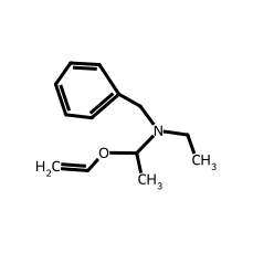 C=COC(C)N(CC)Cc1ccccc1